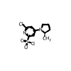 C[C@@H]1CCCN1c1cc(Cl)nc(S(=O)(=O)Cl)c1